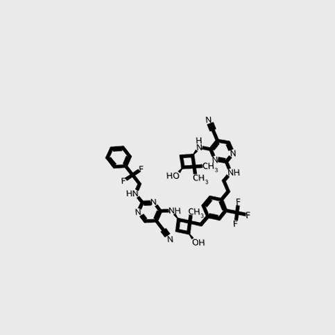 CC1(C)[C@@H](O)C[C@H]1Nc1nc(NCCc2ccc(CC3(C)[C@@H](O)C[C@H]3Nc3nc(NCC(F)(F)c4ccccc4)ncc3C#N)cc2C(F)(F)F)ncc1C#N